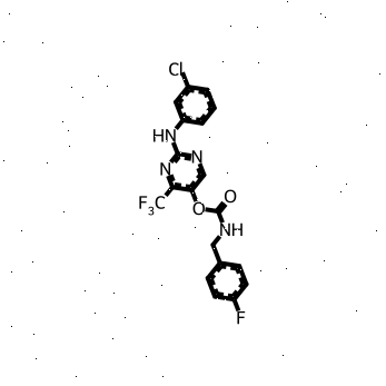 O=C(NCc1ccc(F)cc1)Oc1cnc(Nc2cccc(Cl)c2)nc1C(F)(F)F